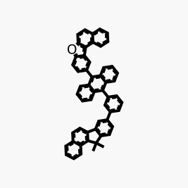 CC1(C)c2ccc(-c3cccc(-c4c5ccccc5c(-c5ccc6oc7ccc8ccccc8c7c6c5)c5ccccc45)c3)cc2-c2ccc3ccccc3c21